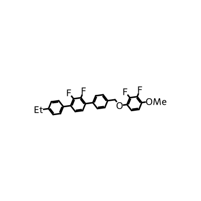 CCc1ccc(-c2ccc(-c3ccc(COc4ccc(OC)c(F)c4F)cc3)c(F)c2F)cc1